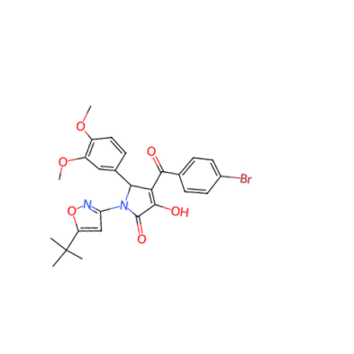 COc1ccc(C2C(C(=O)c3ccc(Br)cc3)=C(O)C(=O)N2c2cc(C(C)(C)C)on2)cc1OC